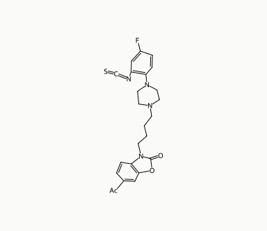 CC(=O)c1ccc2c(c1)oc(=O)n2CCCCN1CCN(c2ccc(F)cc2N=C=S)CC1